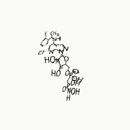 C[C@H](Nc1cc(Cl)nc2c1cnn2[C@@H]1OC(COP(=O)(O)CP(=O)(O)NO)[C@@H](O)[C@H]1O)c1ccccc1F